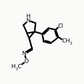 CON=CC1C2CNCC12c1ccc(C)c(Cl)c1